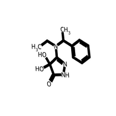 CCN(C1=NNC(=O)C1(O)O)C(C)c1ccccc1